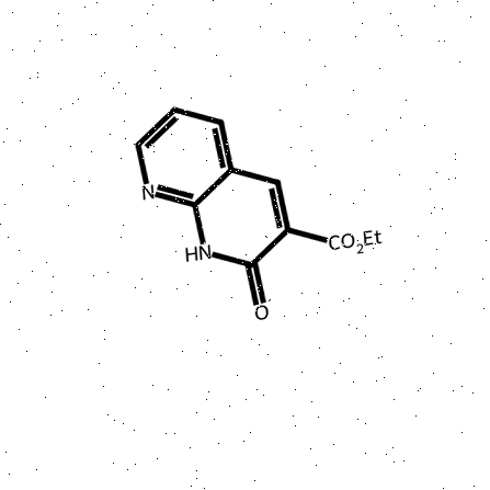 CCOC(=O)c1cc2cccnc2[nH]c1=O